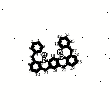 c1ccc2c(c1)Cc1cccc3c1B(O2)c1cc2c(cc1C3)Cc1cccc3c1B2Oc1ccccc1C3